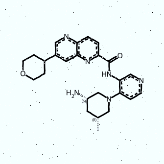 C[C@@H]1C[C@H](N)CN(c2ccncc2NC(=O)c2ccc3ncc(C4CCOCC4)cc3n2)C1